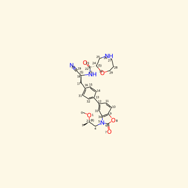 CO[C@H](C)Cn1c(=O)oc2ccc(-c3ccc(C[C@@H](C#N)NC(=O)[C@@H]4CNCCCO4)cc3)cc21